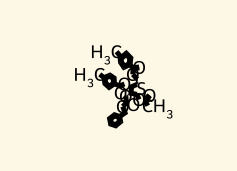 CC(=O)OC1S[C@H](COC(=O)c2ccc(C)cc2)[C@@H](OC(=O)c2ccc(C)cc2)[C@H]1OC(=O)OCc1ccccc1